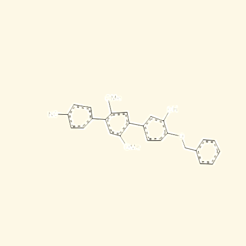 COc1cc(-c2ccc(OCc3ccccc3)c(O)c2)c(OC)cc1-c1ccc(C#N)cc1